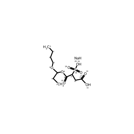 CCCCOC(CC)OC(=O)C(CC(=O)O)S(=O)(=O)O.[NaH]